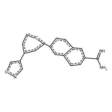 N=C(N)c1ccc2cc(-c3cccc(-c4cnoc4)c3)ccc2c1